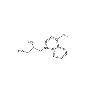 Cc1cc[n+](CC(O)CO)c2ccccc12